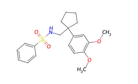 COc1ccc(C2(CNS(=O)(=O)c3ccccc3)CCCC2)cc1OC